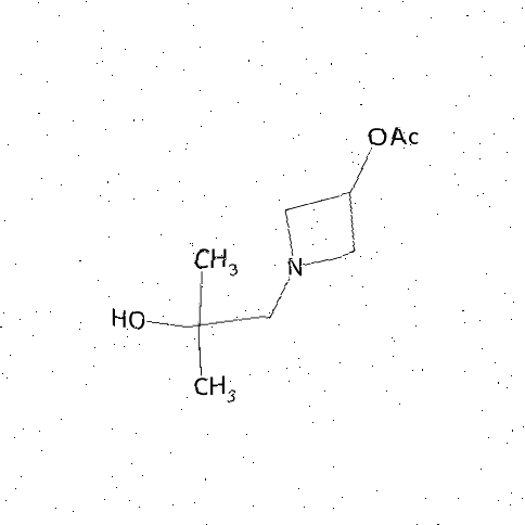 CC(=O)OC1CN(CC(C)(C)O)C1